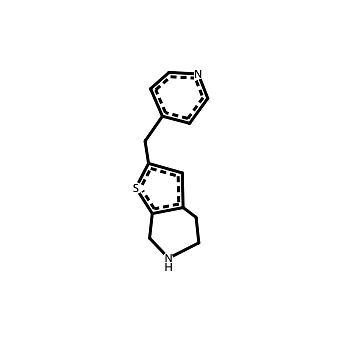 c1cc(Cc2cc3c(s2)CNCC3)ccn1